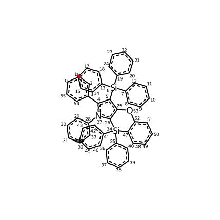 c1ccc(-c2c([Si](c3ccccc3)(c3ccccc3)c3ccccc3)c3c(n2-c2ccccc2)[Si](c2ccccc2)(c2ccccc2)c2ccccc2O3)cc1